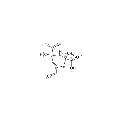 C=CC1=CC(C)(C(=O)O)NC(C)(C(=O)O)C1